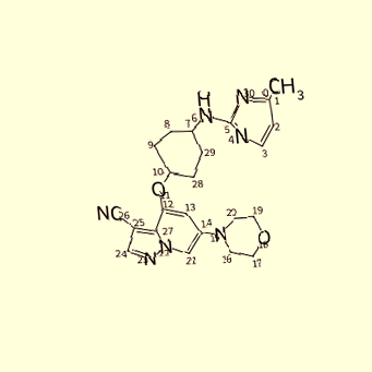 Cc1ccnc(NC2CCC(Oc3cc(N4CCOCC4)cn4ncc(C#N)c34)CC2)n1